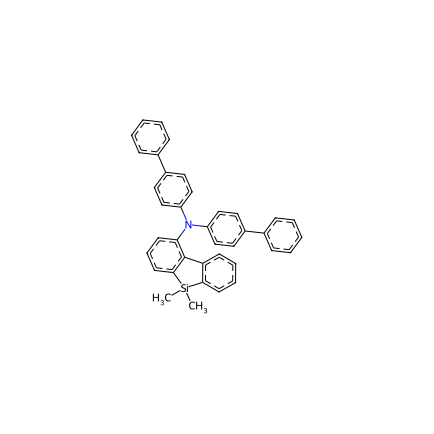 C[Si]1(C)c2ccccc2-c2c(N(c3ccc(-c4ccccc4)cc3)c3ccc(-c4ccccc4)cc3)cccc21